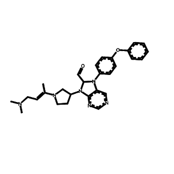 C/C(=C\CN(C)C)N1CCC(N2c3ncncc3N(c3ccc(Oc4ccccc4)cc3)C2C=O)C1